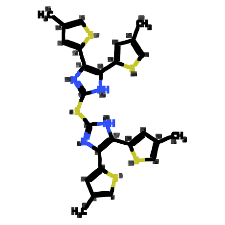 Cc1csc(-c2nc(Sc3nc(-c4cc(C)cs4)c(-c4cc(C)cs4)[nH]3)[nH]c2-c2cc(C)cs2)c1